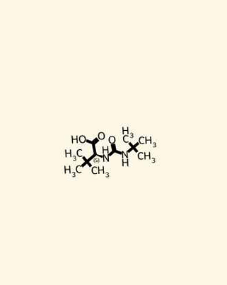 CC(C)(C)NC(=O)N[C@H](C(=O)O)C(C)(C)C